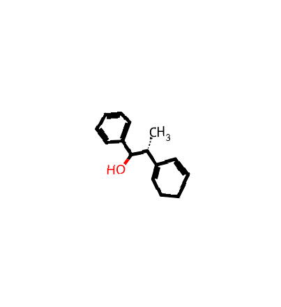 C[C@H](C1=CCCC=C1)C(O)c1ccccc1